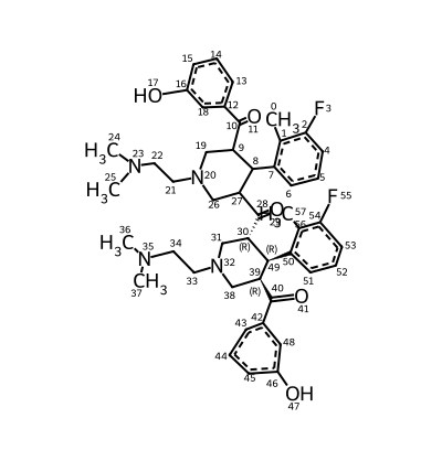 Cc1c(F)cccc1C1C(C(=O)c2cccc(O)c2)CN(CCN(C)C)CC1C(=O)[C@H]1CN(CCN(C)C)C[C@H](C(=O)c2cccc(O)c2)[C@@H]1c1cccc(F)c1C